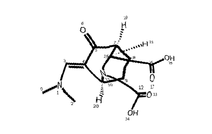 CN(C)/C=C1/C(=O)[C@H]2CC[C@@H]1N(C(=O)O)[C@@H]2C(=O)O